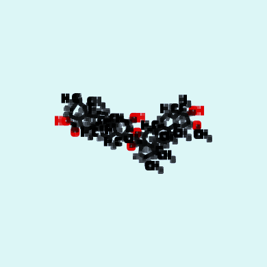 CO[C@@H]1C[C@@]2(C)C(CC[C@]3(C)C2CC=C2[C@@H]4[C@@H](C)[C@H](C)CC[C@]4(C(=O)O[C@@H]4[C@@H](O)C[C@@]5(C)C(CC[C@]6(C)[C@@H]5CC=C5[C@@H]7[C@@H](C)[C@H](C)CC[C@]7(C(=O)O)CC[C@]56C)C4(C)C)CC[C@]23C)C(C)(C)[C@H]1O